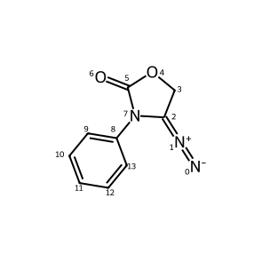 [N-]=[N+]=C1COC(=O)N1c1ccccc1